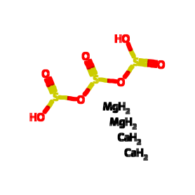 O=S(O)OS(=O)OS(=O)O.[CaH2].[CaH2].[MgH2].[MgH2]